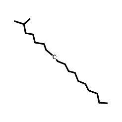 CCCCCCCCCC[CH]CCCCCC(C)C